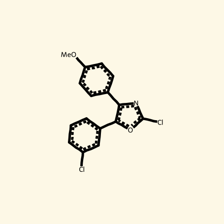 COc1ccc(-c2nc(Cl)oc2-c2cccc(Cl)c2)cc1